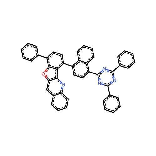 c1ccc(-c2nc(-c3ccccc3)nc(-c3ccc(-c4ccc(-c5ccccc5)c5oc6cc7ccccc7nc6c45)c4ccccc34)n2)cc1